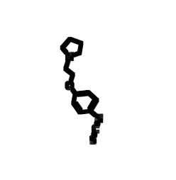 S=C=Nc1ccc(OCCN2CCCC2)cc1